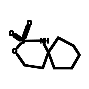 O=S1(=O)NC2(CCCCC2)CCO1